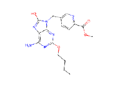 CCCCOc1nc(N)c2nc(O)n(Cc3ccc(C(=O)OC)nc3)c2n1